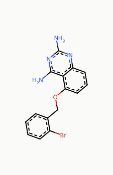 Nc1nc(N)c2c(OCc3ccccc3Br)cccc2n1